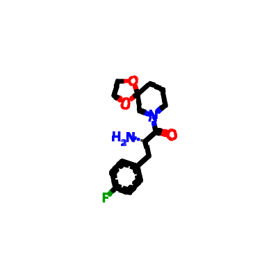 N[C@@H](Cc1ccc(F)cc1)C(=O)N1CCCC2(C1)OCCO2